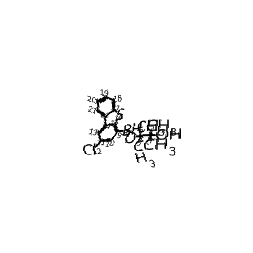 CC(C)(O)C(C)(C)OBc1cc(Cl)cc2c1sc1ccccc12